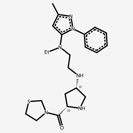 CCN(CCN[C@@H]1CN[C@H](C(=O)N2CCSC2)C1)c1cc(C)nn1-c1ccccc1